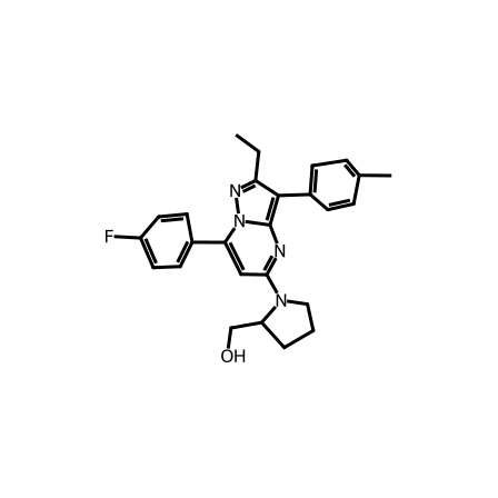 CCc1nn2c(-c3ccc(F)cc3)cc(N3CCCC3CO)nc2c1-c1ccc(C)cc1